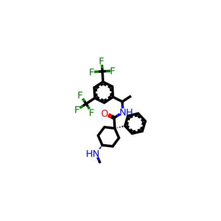 CN[C@H]1CC[C@@](C(=O)NC(C)c2cc(C(F)(F)F)cc(C(F)(F)F)c2)(c2ccccc2)CC1